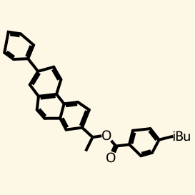 CCC(C)c1ccc(C(=O)OC(C)c2ccc3c(ccc4cc(-c5ccccc5)ccc43)c2)cc1